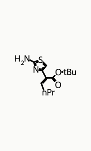 CCCC=C(C(=O)OC(C)(C)C)c1csc(N)n1